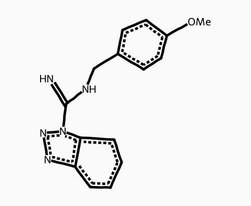 COc1ccc(CNC(=N)n2nnc3ccccc32)cc1